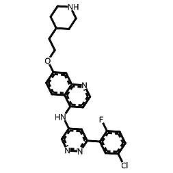 Fc1ccc(Cl)cc1-c1cc(Nc2ccnc3cc(OCCC4CCNCC4)ccc23)cnn1